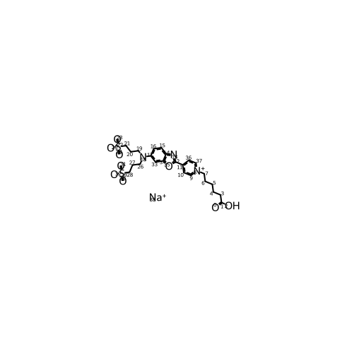 O=C(O)CCCCC[n+]1ccc(-c2nc3ccc(N(CCCS(=O)(=O)[O-])CCCS(=O)(=O)[O-])cc3o2)cc1.[Na+]